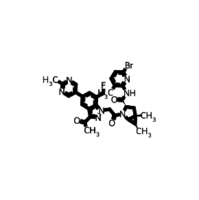 CC(=O)c1nn(CC(=O)N2C3[C@@H](C)[C@@]3(C)C[C@H]2C(=O)Nc2nc(Br)ccc2C)c2c(CF)cc(-c3cnc(C)nc3)cc12